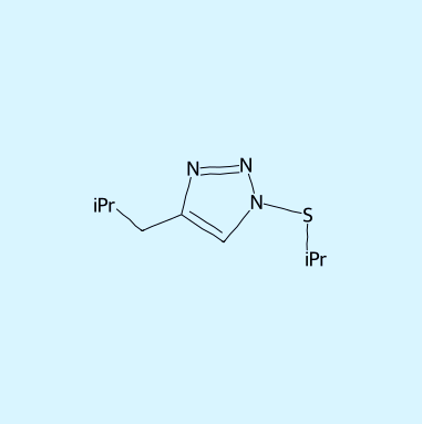 CC(C)Cc1cn(SC(C)C)nn1